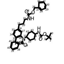 CC(C)(C)OC(=O)NC1CCC(N(C(=O)O)c2cc(CCCNC(=O)OCc3ccccc3)ccc2-c2ccccc2)CC1